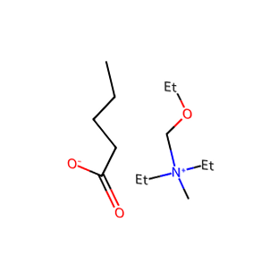 CCCCC(=O)[O-].CCOC[N+](C)(CC)CC